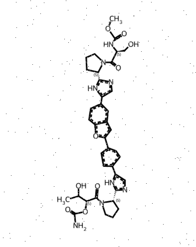 COC(=O)N[C@@H](CO)C(=O)N1CCC[C@H]1c1ncc(-c2ccc3oc(-c4ccc(-c5cnc([C@@H]6CCCN6C(=O)[C@@H](OC(N)=O)C(C)O)[nH]5)cc4)cc3c2)[nH]1